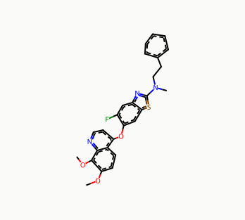 COc1ccc2c(Oc3cc4sc(N(C)CCc5ccccc5)nc4cc3F)ccnc2c1OC